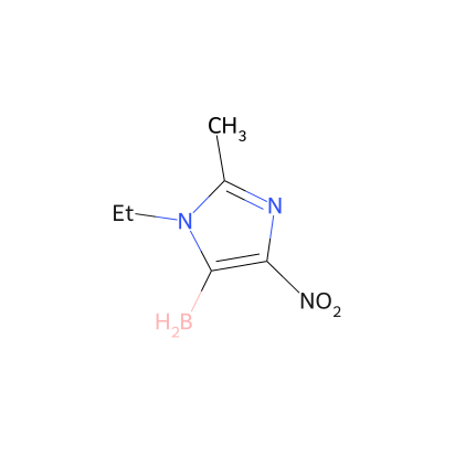 Bc1c([N+](=O)[O-])nc(C)n1CC